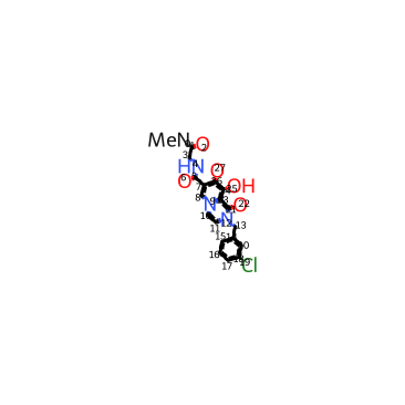 CNC(=O)CNC(=O)c1cn2ccn(Cc3cccc(Cl)c3)c(=O)c2c(O)c1=O